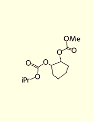 COC(=O)OC1CCCCC1OC(=O)OC(C)C